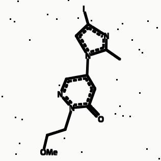 COCCn1ncc(-n2cc(I)nc2C)cc1=O